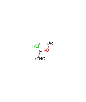 CC(=O)OCC=O.Cl